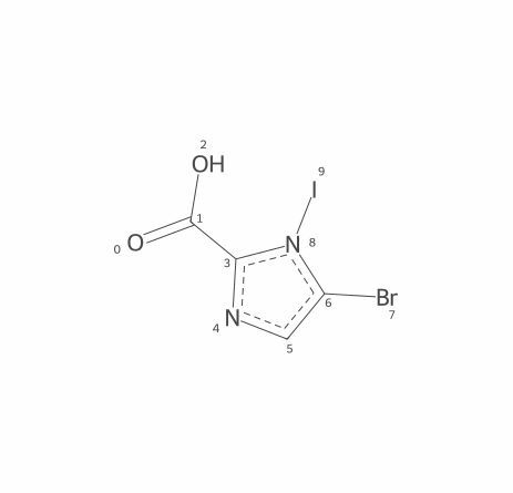 O=C(O)c1ncc(Br)n1I